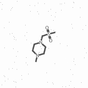 CN1CCN(CS(C)(=O)=O)CC1